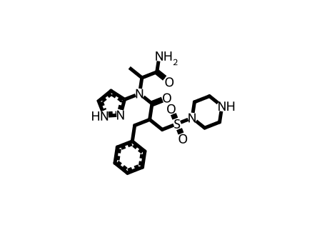 CC(C(N)=O)N(C(=O)C(Cc1ccccc1)CS(=O)(=O)N1CCNCC1)c1cc[nH]n1